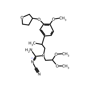 COc1ccc(C(C)CN(CC(OC)OC)/C(N)=N\C#N)cc1OC1CCOC1